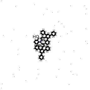 OCc1ccccc1/C(=C1\C=CC(c2c(-c3ccccc3)cc(-c3ccccc3)cc2-c2ccccc2)=N1)c1ccc(-c2c(-c3ccccc3)cc(-c3ccccc3)cc2-c2ccccc2)[nH]1